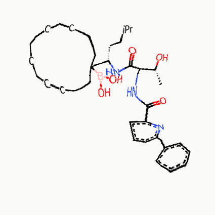 CC(C)CC[C@H](NC(=O)C(NC(=O)c1cccc(-c2ccccc2)n1)[C@@H](C)O)C1(B(O)O)CCCCCCCCCCCCC1